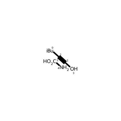 CCC(C)C#CO.NC(=O)O